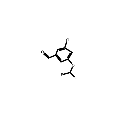 O=Cc1cc(Cl)cc(OC(F)F)c1